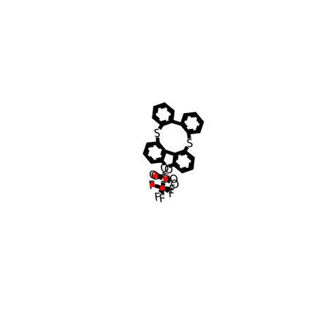 O=S(=O)(Oc1cccc2c1-c1c(OS(=O)(=O)C(F)(F)F)cccc1Sc1ccccc1-c1ccccc1S2)C(F)(F)F